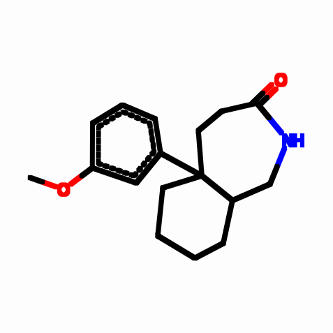 COc1cccc(C23CCCCC2CNC(=O)CC3)c1